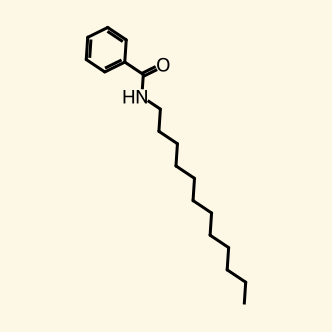 CCCCCCCCCCCCNC(=O)c1ccccc1